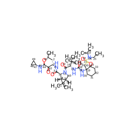 CCC[C@H](NC(=O)[C@@H]1[C@@H]2[C@H](CN1C(=O)[C@@H](NC(=O)NC1(CS(=O)(=O)N(CC)C(C)C)CCCCC1)C(C)(C)C)C2(C)C)C(=O)C(=O)NC1CC1